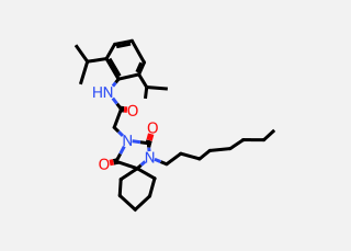 CCCCCCCCN1C(=O)N(CC(=O)Nc2c(C(C)C)cccc2C(C)C)C(=O)C12CCCCC2